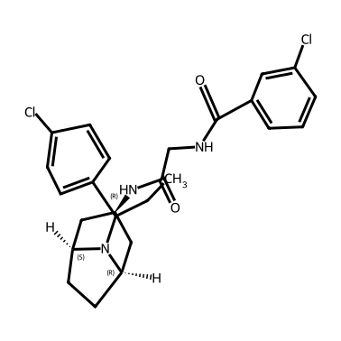 CCC(c1ccc(Cl)cc1)N1[C@@H]2CC[C@H]1C[C@@H](NC(=O)CNC(=O)c1cccc(Cl)c1)C2